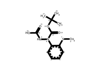 CSc1ccccc1N(NC(=O)O)C(=O)OC(C)(C)C